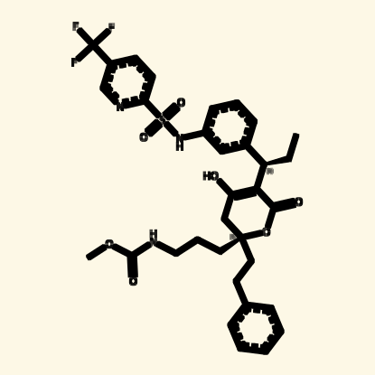 CC[C@@H](C1=C(O)C[C@@](CCCNC(=O)OC)(CCc2ccccc2)OC1=O)c1cccc(NS(=O)(=O)c2ccc(C(F)(F)F)cn2)c1